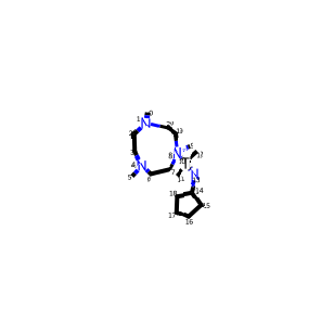 CN1CCN(C)CC[N+](C)([Ti]([CH3])([CH3])=[N]C2CCCC2)CC1